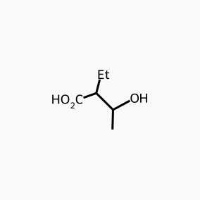 CCC(C(=O)O)C(C)O